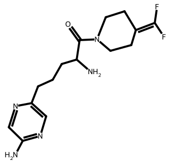 Nc1cnc(CCCC(N)C(=O)N2CCC(=C(F)F)CC2)cn1